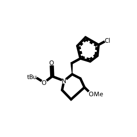 COC1CCN(C(=O)OC(C)(C)C)[C@@H](Cc2ccc(Cl)cc2)C1